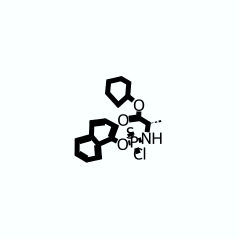 C[C@H](NP(=S)(Cl)Oc1cccc2ccccc12)C(=O)OC1CCCCC1